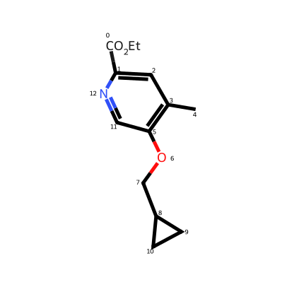 CCOC(=O)c1cc(C)c(OCC2CC2)cn1